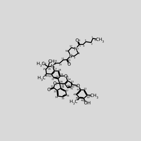 CCCCCC(=O)N1CCN(C(=O)CCCN2c3cc4c(cc3C(C)CC2(C)C)C2(OC(=O)c3ccccc32)c2ccc(Oc3cc(C)c(O)c(C)c3)cc2O4)CC1